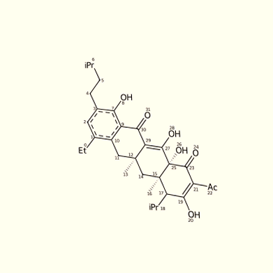 CCc1cc(CCC(C)C)c(O)c2c1C[C@]1(C)C[C@]3(C)C(C(C)C)C(O)=C(C(C)=O)C(=O)[C@]3(O)C(O)=C1C2=O